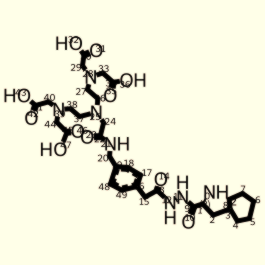 N[C@H](CC1CCCCC1)C(=O)NNC(=O)Cc1ccc(CNC(=O)CN(CCN(CC(=O)O)CC(=O)O)CCN(CC(=O)O)CC(=O)O)cc1